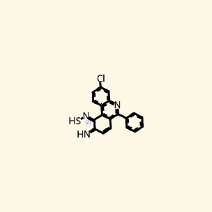 N=C1C=Cc2c(-c3ccccc3)nc3cc(Cl)ccc3c2/C1=N/S